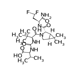 CC(C)[C@H](NC(=O)N[C@H](C(=O)N1C[C@H]2[C@@H]([C@H]1C(=O)N[C@@H](CC(F)F)C(N)=O)C2(C)C)C(C)(C)C)C(=O)O